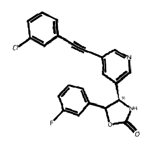 O=C1N[C@H](c2cncc(C#Cc3cccc(Cl)c3)c2)C(c2cccc(F)c2)O1